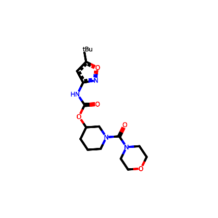 CC(C)(C)c1cc(NC(=O)OC2CCCN(C(=O)N3CCOCC3)C2)no1